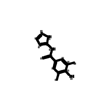 Cc1cc(C(=O)Nc2ncn[nH]2)cc(C)c1O